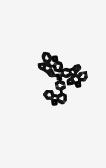 c1ccc2c(c1)Oc1ccccc1C21c2ccccc2-c2ccc(N(c3ccc(-c4cccc5oc6ccccc6c45)cc3)c3ccc4c(c3)C3(c5ccccc5Oc5ccccc53)c3ccccc3-4)cc21